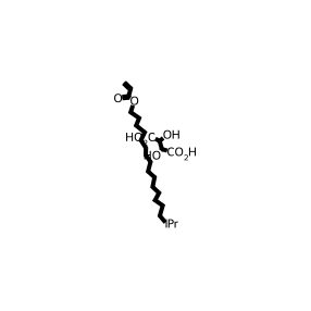 C=CC(=O)OCCCCCCCCCCCCCCCC(C)C.O=C(O)C(O)C(O)C(=O)O